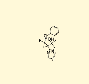 CC1(C(O)(Cc2ccccc2Cl)Cn2cncn2)CC1(F)F